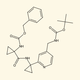 CC(C)(C)OC(=O)NCc1ccnc(C2(NC(=O)C3(NC(=O)OCc4ccccc4)CC3)CC2)c1